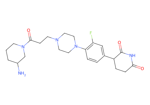 NC1CCCN(C(=O)CCN2CCN(c3ccc(C4CCC(=O)NC4=O)cc3F)CC2)C1